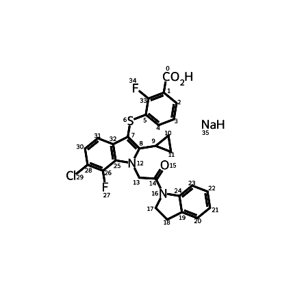 O=C(O)c1cccc(Sc2c(C3CC3)n(CC(=O)N3CCc4ccccc43)c3c(F)c(Cl)ccc23)c1F.[NaH]